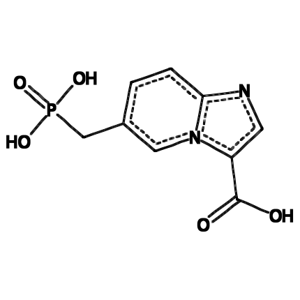 O=C(O)c1cnc2ccc(CP(=O)(O)O)cn12